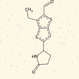 CCc1c(C=O)sc2cc(C3CCC(=O)N3)sc12